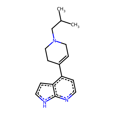 C[C](C)CN1CC=C(c2ccnc3[nH]ccc23)CC1